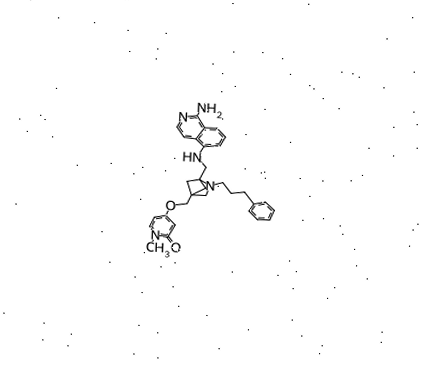 Cn1ccc(OCC23CN(CCCc4ccccc4)C(CNc4cccc5c(N)nccc45)(C2)C3)cc1=O